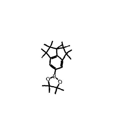 CC1(C)OB(c2cc3c4c(c2)C(C)(C)C(C)(C)C4(C)C(C)(C)C3(C)C)OC1(C)C